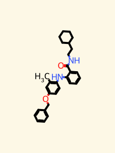 Cc1cc(OCc2ccccc2)ccc1Nc1ccccc1C(=O)NCCC1CCCCC1